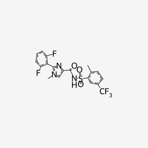 Cc1ccc(C(F)(F)F)cc1S(=O)(=O)NC(=O)c1cn(C)c(-c2c(F)cccc2F)n1